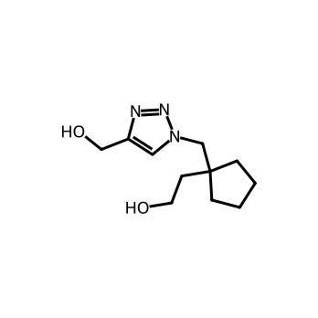 OCCC1(Cn2cc(CO)nn2)CCCC1